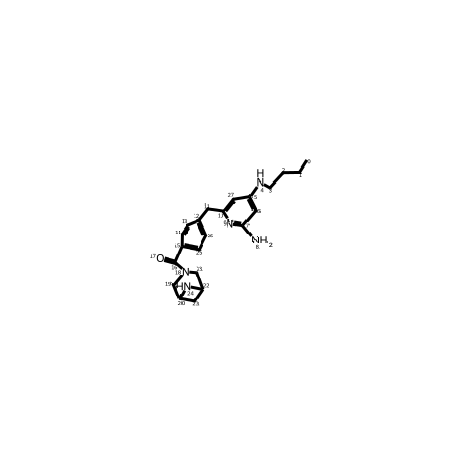 CCCCNc1cc(N)nc(Cc2ccc(C(=O)N3CC4CC(C3)N4)cc2)c1